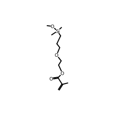 C=C(C)C(=O)OCCOCCC[Si](C)(C)OC